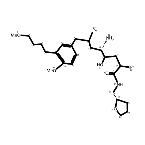 COCCCCc1cc(CC(C[C@H](N)C(O)CC(C(=O)NC[C@@H]2CCCO2)C(C)C)C(C)C)ccc1OC